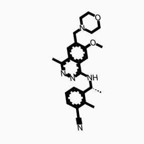 COc1cc2c(N[C@H](C)c3cccc(C#N)c3C)nnc(C)c2cc1CN1CCOCC1